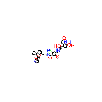 COc1cc(C(=O)NCCCc2cccc(C3(C(=O)O[C@H]4CN5CCC4CC5)CCCCC3)c2)c(Cl)cc1CNC[C@@H](O)c1ccc(O)c2[nH]c(=O)ccc12